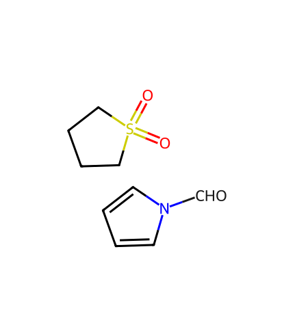 O=Cn1cccc1.O=S1(=O)CCCC1